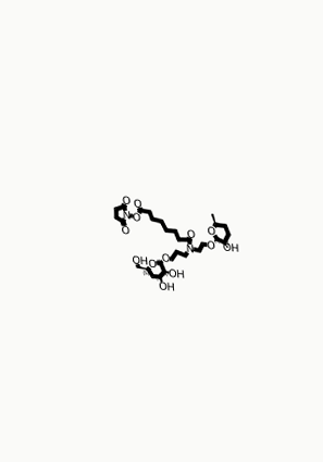 C[C@H]1CC[C@H](O)[C@H](OCCN(CCCO[C@@H]2O[C@H](CO)C[C@H](O)[C@@H]2O)C(=O)CCCCCCC(=O)ON2C(=O)CCC2=O)O1